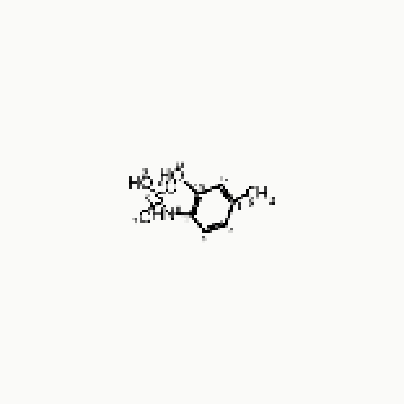 Cc1ccc(NS(=O)(=O)O)c(O)c1